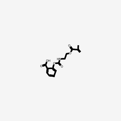 C=C(C)C(=O)OCCNC(=O)Oc1ccccc1C(=O)O